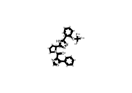 O=C(c1ncsc1-c1ccccc1)N1CCCC1c1nnc(-c2ccccc2OC(F)(F)F)[nH]1